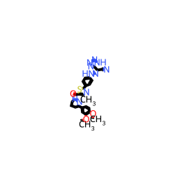 CCOc1cc(C2=NN(C(=O)c3sc(-c4ccc(N/N=C(/C#N)c5nnn[nH]5)cc4)nc3C)CCC2)ccc1OC